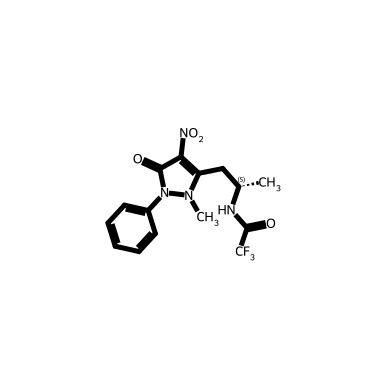 C[C@@H](Cc1c([N+](=O)[O-])c(=O)n(-c2ccccc2)n1C)NC(=O)C(F)(F)F